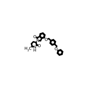 C=C1CCC(N2Cc3c(OCc4ccc(COc5ccccc5)cc4)cccc3C2=O)C(=O)N1